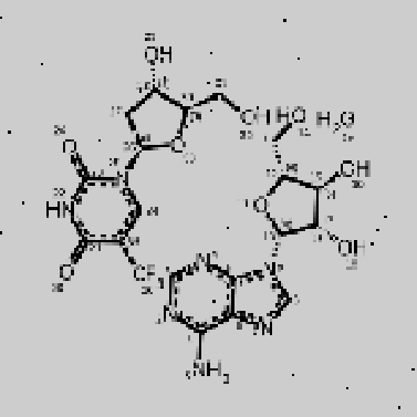 Nc1ncnc2c1ncn2[C@@H]1O[C@H](CO)[C@@H](O)[C@@H]1O.O.O=c1[nH]c(=O)n([C@H]2C[C@H](O)[C@@H](CO)O2)cc1C(F)(F)F